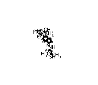 CC(C)(S)CC(=O)N/N=C1\CCc2cc(N(C(=O)O)C(C)(C)C)ccc21